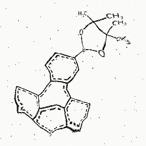 CC1(C)OB(c2ccc3c(c2)c2cccc4sc5cccc3c5c42)OC1(C)C